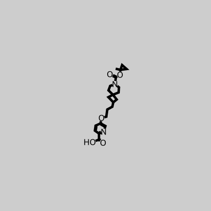 CC1(OC(=O)N2CCC3(CC2)CC(CCCOc2ccc(C(=O)O)nc2)C3)CC1